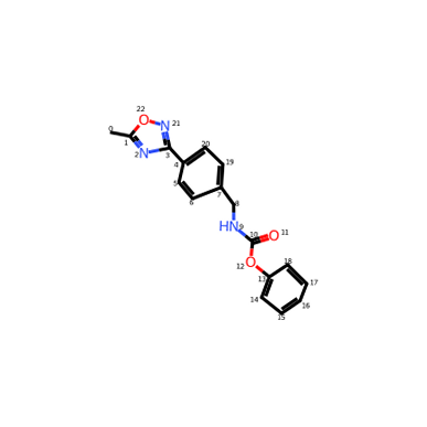 Cc1nc(-c2ccc(CNC(=O)Oc3ccccc3)cc2)no1